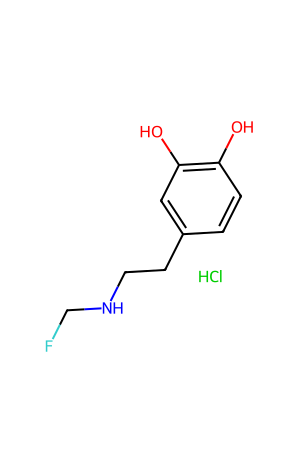 Cl.Oc1ccc(CCNCF)cc1O